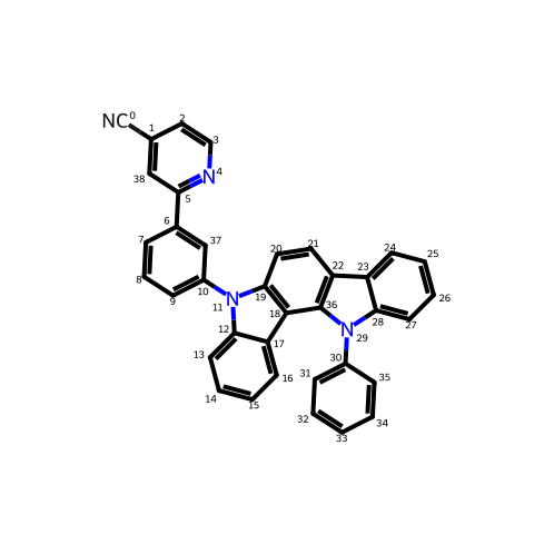 N#Cc1ccnc(-c2cccc(-n3c4ccccc4c4c3ccc3c5ccccc5n(-c5ccccc5)c34)c2)c1